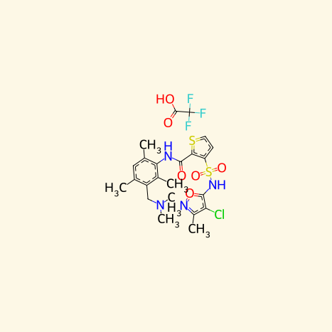 Cc1cc(C)c(NC(=O)c2sccc2S(=O)(=O)Nc2onc(C)c2Cl)c(C)c1CN(C)C.O=C(O)C(F)(F)F